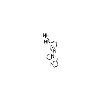 CNCCNc1cccc2nc([C@H]3CCC[C@@H](c4ncccc4C)N3C)cn12